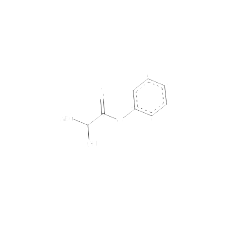 CCCCC(O)C(=O)Oc1ccccc1